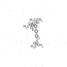 C=C(C)C(=O)OCC1CCc2cc(-c3ccc(-c4ccc(OC(=O)C(=C)C)c(OC(=O)C(=C)C)c4)c(F)c3)ccc21